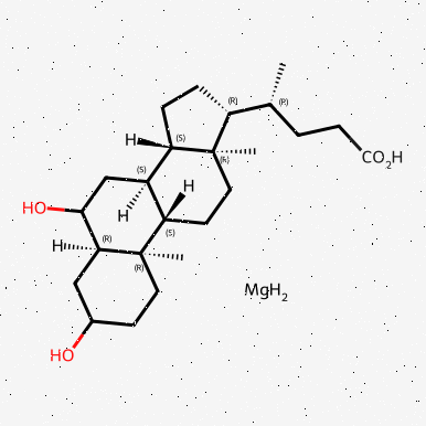 C[C@H](CCC(=O)O)[C@H]1CC[C@H]2[C@@H]3CC(O)[C@@H]4CC(O)CC[C@]4(C)[C@H]3CC[C@]12C.[MgH2]